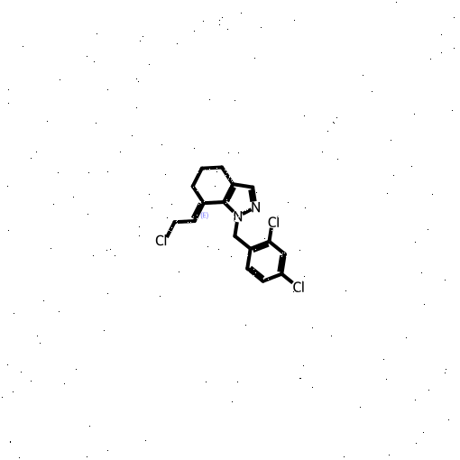 ClC/C=C1\CCCc2cnn(Cc3ccc(Cl)cc3Cl)c21